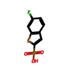 O=S(=O)(O)c1cc2ccc(F)cc2s1